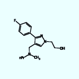 CCCN(C)Cc1cn(CCO)nc1-c1ccc(F)cc1